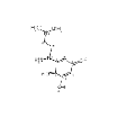 CN(C)CCN(N)C1=CC(=O)C=C(O)C1=O